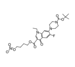 CCn1cc(C(=O)OCCCCO[N+](=O)[O-])c(=O)c2cc(F)c(N3CCN(C(=O)OC(C)(C)C)CC3)cc21